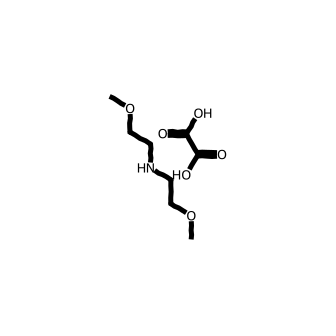 COCCNCCOC.O=C(O)C(=O)O